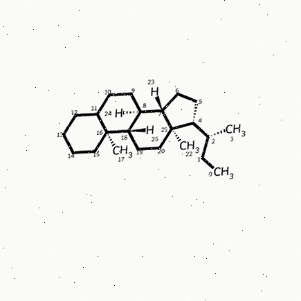 CC[C@@H](C)[C@H]1CC[C@H]2[C@@H]3CCC4CCC[CH][C@]4(C)[C@H]3CC[C@]12C